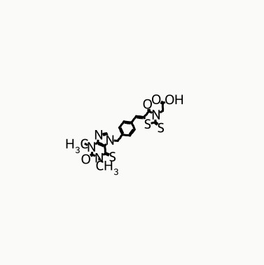 Cn1c(=S)c2c(ncn2Cc2ccc(/C=C3\SC(=S)N(CC(=O)O)C3=O)cc2)n(C)c1=O